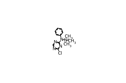 C[N+](C)(C)N(c1ccccc1)c1ncnc(Cl)n1